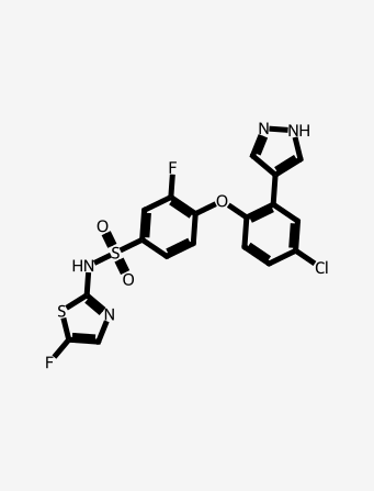 O=S(=O)(Nc1ncc(F)s1)c1ccc(Oc2ccc(Cl)cc2-c2cn[nH]c2)c(F)c1